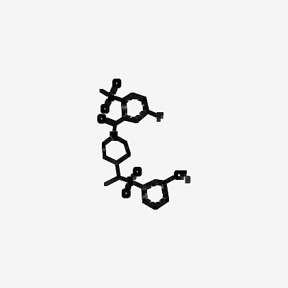 CC(C1CCN(C(=O)c2cc(F)ccc2S(C)(=O)=O)CC1)S(=O)(=O)c1cccc(C(F)(F)F)c1